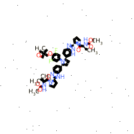 CC[C@H](NC(=O)OC)C(=O)N1CCC[C@H]1c1nc2ccc([C@H]3CC[C@H](c4ccc5nc([C@@H]6CCCN6C(=O)[C@@H](NC(=O)OC)C(C)C)[nH]c5c4)N3c3cc(F)c(OCC4(CC)COC4)c(F)c3)cc2[nH]1